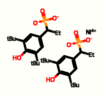 CCC(c1cc(C(C)(C)C)c(O)c(C(C)(C)C)c1)P(=O)([O-])[O-].CCC(c1cc(C(C)(C)C)c(O)c(C(C)(C)C)c1)P(=O)([O-])[O-].[Ni+4]